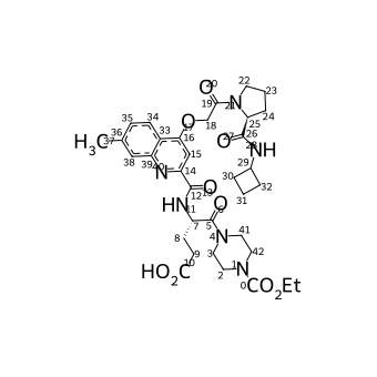 CCOC(=O)N1CCN(C(=O)[C@H](CCC(=O)O)NC(=O)c2cc(OCC(=O)N3CCC[C@H]3C(=O)NC3CCC3)c3ccc(C)cc3n2)CC1